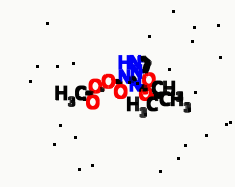 CC(=O)OCOC(=O)NC(=NC(=O)OC(C)(C)C)n1cccn1